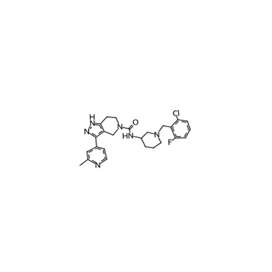 Cc1cc(-c2n[nH]c3c2CN(C(=O)NC2CCCN(Cc4c(F)cccc4Cl)C2)CC3)ccn1